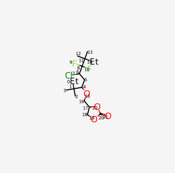 CCC(C)(C)C(CC(Cl)C(F)(F)C(C)(C)CC)OCC1COC(=O)O1